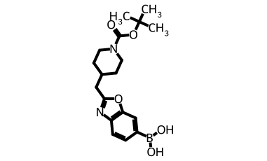 CC(C)(C)OC(=O)N1CCC(Cc2nc3ccc(B(O)O)cc3o2)CC1